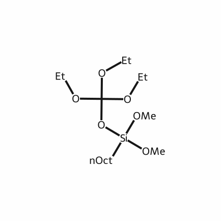 CCCCCCCC[Si](OC)(OC)OC(OCC)(OCC)OCC